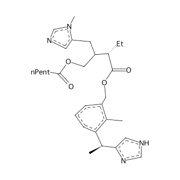 CCCCCC(=O)OCC(Cc1cncn1C)[C@H](CC)C(=O)OCc1cccc([C@H](C)c2c[nH]cn2)c1C